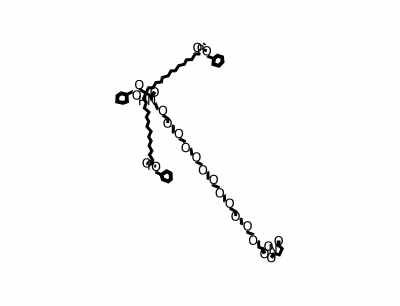 CP(=O)(CCCCCCCCCCCCCCC(CCCCCCCCCCCCCCP(C)(=O)OCc1ccccc1)(C(=O)NCCOCCOCCOCCOCCOCCOCCOCCOCCOCCOCCOCCOCCC(=O)ON1C(=O)CCC1=O)C(=O)OCc1ccccc1)OCc1ccccc1